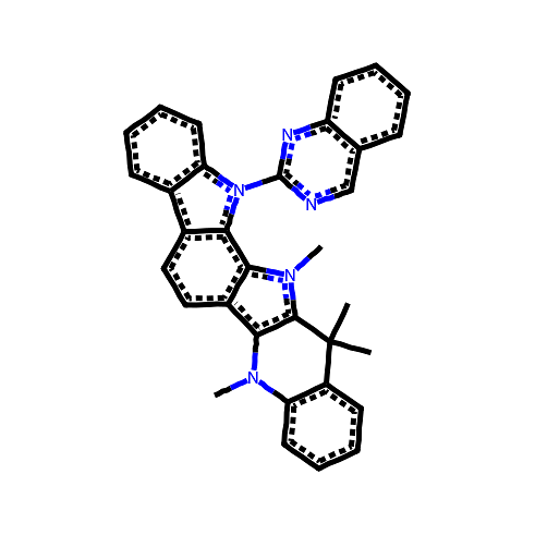 CN1c2ccccc2C(C)(C)c2c1c1ccc3c4ccccc4n(-c4ncc5ccccc5n4)c3c1n2C